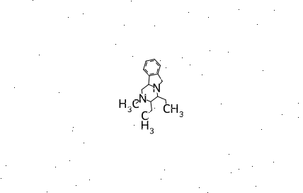 CCC1C(CC)N2Cc3ccccc3C2CN1C